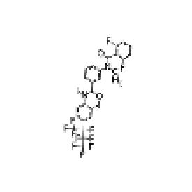 CN(C(=O)c1c(F)cccc1F)c1cccc(C(=O)N(I)c2ccc(C(F)(C(F)(F)F)C(F)(F)C(F)(F)F)cc2I)c1